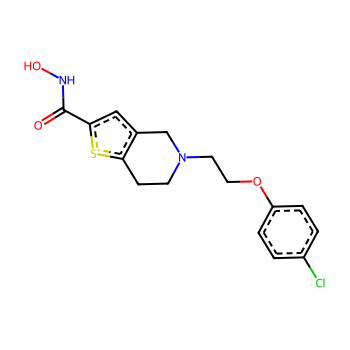 O=C(NO)c1cc2c(s1)CCN(CCOc1ccc(Cl)cc1)C2